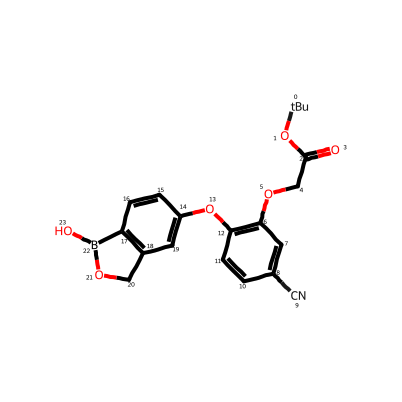 CC(C)(C)OC(=O)COc1cc(C#N)ccc1Oc1ccc2c(c1)COB2O